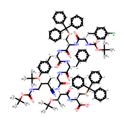 C[C@@H](OC(C)(C)C)[C@H](NC(=O)[C@H](CC(C#N)CCNC(=O)OC(C)(C)C)NC(=O)[C@@H](Cc1ccccc1)NC(=O)[C@H](Cc1ccc(OC(C)(C)C)cc1)NC(=O)[C@@H](CSC(c1ccccc1)(c1ccccc1)c1ccccc1)NC(=O)[C@H](Cc1ccc(Cl)cc1)NC(=O)OC(C)(C)C)C(=O)N[C@@H](CSC(c1ccccc1)(c1ccccc1)c1ccccc1)C(=O)O